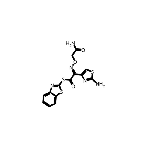 NC(=O)CON=C(C(=O)Sc1nc2ccccc2s1)c1csc(N)n1